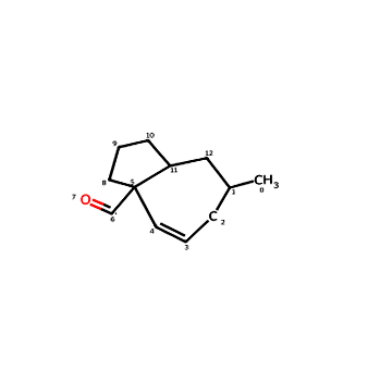 CC1CC=CC2([C]=O)CCCC2C1